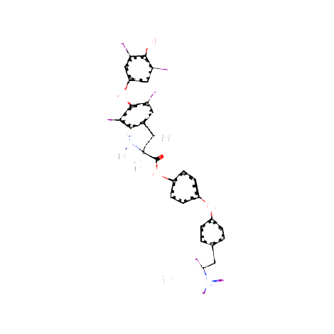 [3H]C(c1cc(I)c(Oc2cc(I)c(O)c(I)c2)c(I)c1)[C@@]([3H])(C(=O)Oc1ccc(Oc2ccc(C[C@@](I)(C(=O)O)N(I)I)cc2)cc1)N([3H])[3H]